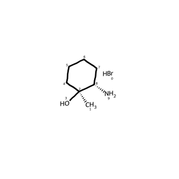 Br.C[C@]1(O)CCCC[C@@H]1N